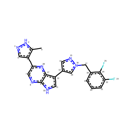 Cc1[nH]ncc1-c1cnc2[nH]cc(-c3cnn(Cc4cccc(F)c4F)c3)c2n1